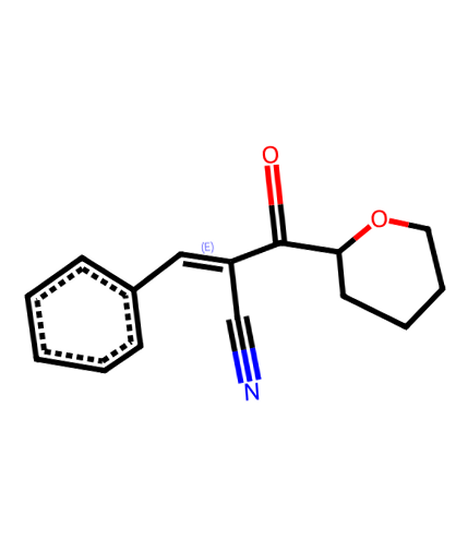 N#C/C(=C\c1ccccc1)C(=O)C1CCCCO1